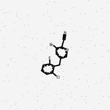 N#Cc1ncc(Cc2c(F)cccc2Cl)cc1Br